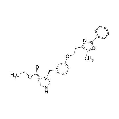 CCOC(=O)[C@@H]1CNC[C@@H]1Cc1cccc(OCCc2nc(-c3ccccc3)oc2C)c1